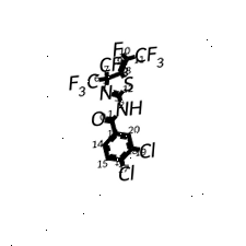 O=C(NC1=NC(C(F)(F)F)(C(F)(F)F)C(=C(F)C(F)(F)F)S1)c1ccc(Cl)c(Cl)c1